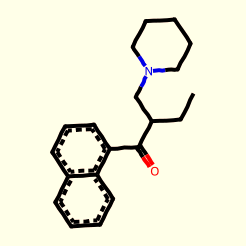 CCC(CN1CCCCC1)C(=O)c1cccc2ccccc12